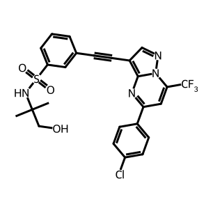 CC(C)(CO)NS(=O)(=O)c1cccc(C#Cc2cnn3c(C(F)(F)F)cc(-c4ccc(Cl)cc4)nc23)c1